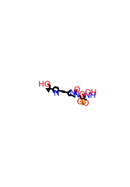 CC(CCN1Cc2cc(C#Cc3ccc(C4(CO)CC4)cn3)cn2C1=O)(C(=O)NO)S(C)(=O)=O